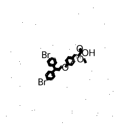 CCO[C@@H](Cc1ccc(OCC=C(c2ccc(Br)cc2)c2ccc(Br)cc2)cc1)C(=O)O